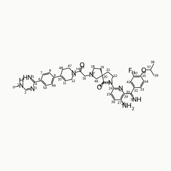 CN/C=N\C(=N)c1ccc(C2=CCN(C(=O)CN3CC[C@]4(CCN(c5ccc(N)c(C(=N)c6ccc(OC(C)C)c(F)c6)n5)C4=O)C3)CC2)cc1